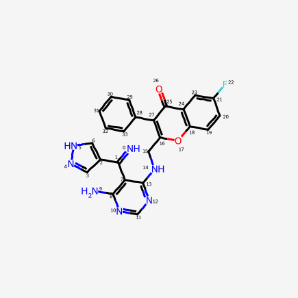 N=C(c1cn[nH]c1)c1c(N)ncnc1NCc1oc2ccc(F)cc2c(=O)c1-c1ccccc1